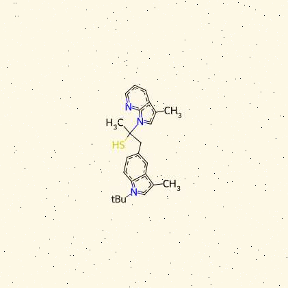 Cc1cn(C(C)(C)C)c2ccc(CC(C)(S)n3cc(C)c4cccnc43)cc12